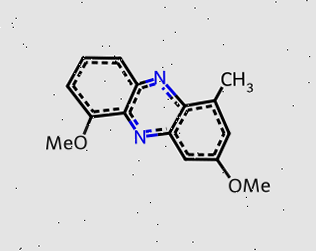 COc1cc(C)c2nc3cccc(OC)c3nc2c1